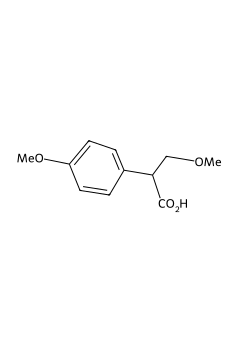 COCC(C(=O)O)c1ccc(OC)cc1